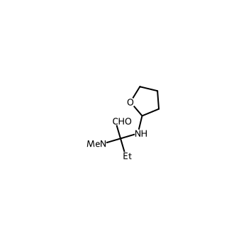 CCC(C=O)(NC)NC1CCCO1